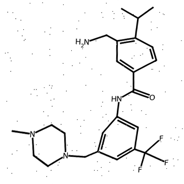 CC(C)c1ccc(C(=O)Nc2cc(CN3CCN(C)CC3)cc(C(F)(F)F)c2)cc1CN